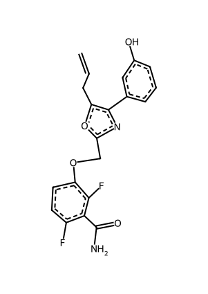 C=CCc1oc(COc2ccc(F)c(C(N)=O)c2F)nc1-c1cccc(O)c1